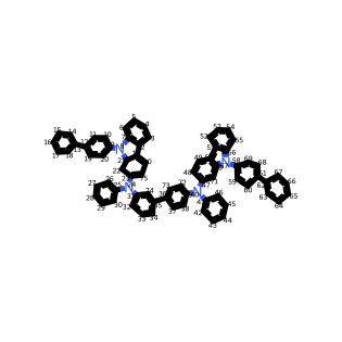 C1=C2c3ccccc3N(c3ccc(-c4ccccc4)cc3)C2CC(N(c2ccccc2)c2cccc(-c3ccc(N(c4ccccc4)c4ccc5c6ccccc6n(-c6ccc(-c7ccccc7)cc6)c5c4)cc3)c2)=C1